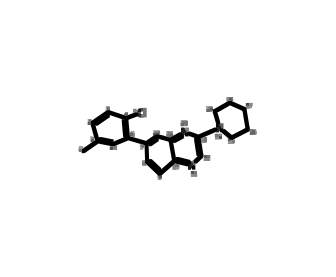 Cc1ccc(Cl)c(-c2ccc3ncc(N4CCCCC4)nc3c2)c1